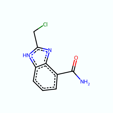 NC(=O)c1cccc2[nH]c(CCl)nc12